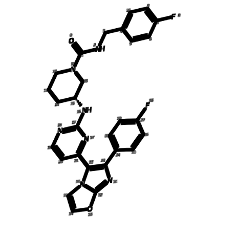 O=C(NCc1ccc(F)cc1)N1CCC[C@@H](Nc2nccc(-c3c(-c4ccc(F)cc4)nc4occn34)n2)C1